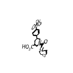 CS(=O)(=O)c1ccc(C2CC(C(=O)O)CN(C(=O)N3CCOCC3)C2)cc1